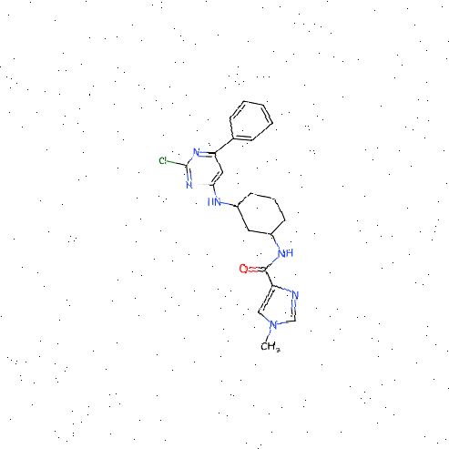 Cn1cnc(C(=O)NC2CCCC(Nc3cc(-c4ccccc4)nc(Cl)n3)C2)c1